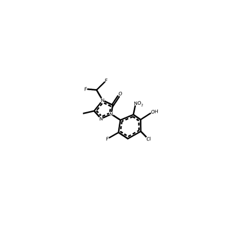 Cc1nn(-c2c(F)cc(Cl)c(O)c2[N+](=O)[O-])c(=O)n1C(F)F